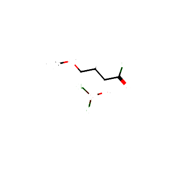 O=C(Cl)CCCO[N+](=O)[O-].[O-][S+](Cl)Cl